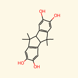 CC1(C)c2cc(O)c(O)cc2C2C1c1cc(O)c(O)cc1C2(C)C